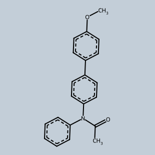 COc1ccc(-c2ccc(N(C(C)=O)c3ccccc3)cc2)cc1